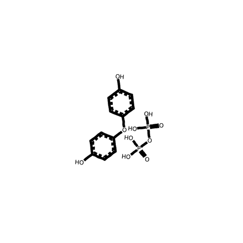 O=P(O)(O)OP(=O)(O)O.Oc1ccc(Oc2ccc(O)cc2)cc1